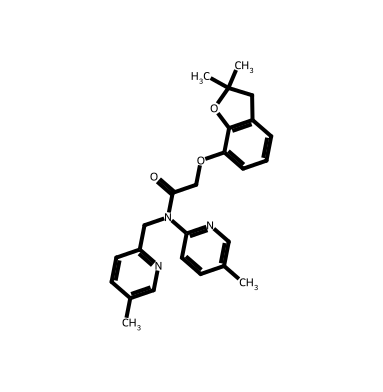 Cc1ccc(CN(C(=O)COc2cccc3c2OC(C)(C)C3)c2ccc(C)cn2)nc1